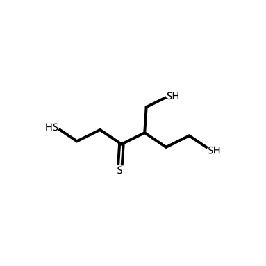 S=C(CCS)C(CS)CCS